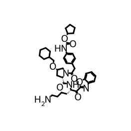 NCCCC[C@H](NC(=O)[C@@H]1C[C@@H](OCC2CCCCC2)CN1C(=O)Cc1ccc(NC(=O)OC2CCCC2)cc1)C(=O)c1nc2ccccc2o1